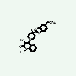 COCc1ccc2nc(C3(C)CCN(c4c(C#N)c(=O)n(C)c5ccccc45)CC3)oc2c1